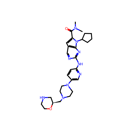 CN(C)C(=O)c1cc2cnc(Nc3ccc(N4CCN(C[C@@H]5CNCCO5)CC4)cn3)nc2n1C1CCCC1